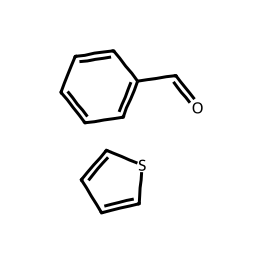 O=Cc1ccccc1.c1ccsc1